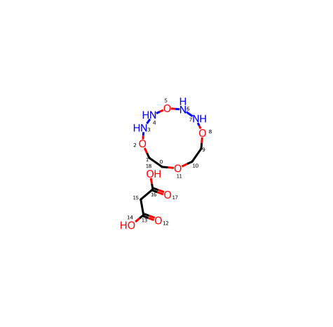 C1CONNONNOCCO1.O=C(O)CC(=O)O